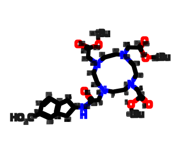 CC(C)(C)OC(=O)CN1CCN(CC(=O)NC2Cc3ccc(C(=O)O)cc3C2)CCN(CC(=O)OC(C)(C)C)CCN(CC(=O)OC(C)(C)C)CC1